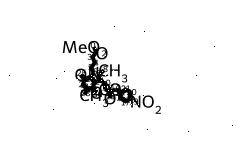 COC(=O)CCCn1c(C)c(COC(=O)Oc2ccc([N+](=O)[O-])cc2)c2c1C(=O)C=C(C)C2=O